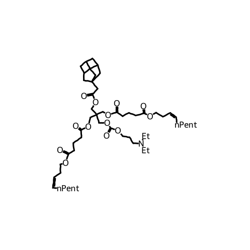 CCCCC/C=C\CCOC(=O)CCCC(=O)OCC(COC(=O)CCCC(=O)OCC/C=C\CCCCC)(COC(=O)CC12CC3CC4CC(C1)C43C2)COC(=O)OCCCN(CC)CC